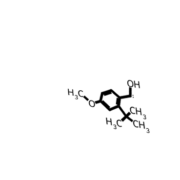 COc1ccc([C]O)c(C(C)(C)C)c1